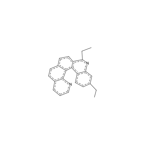 CCc1ccc2c(c1)nc(CC)c1ccc3ccc4cccnc4c3c12